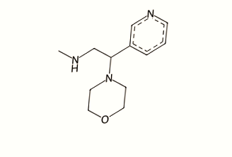 CNCC(c1cccnc1)N1CCOCC1